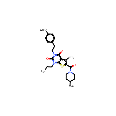 COc1ccc(CCn2c(=O)c3c(C)c(C(=O)N4CCC(OC(C)=O)CC4)sc3n(CCC(F)(F)F)c2=O)cc1